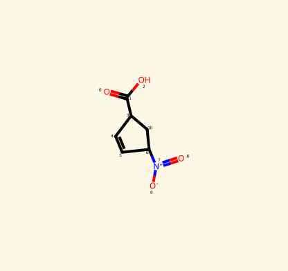 O=C(O)C1C=CC([N+](=O)[O-])C1